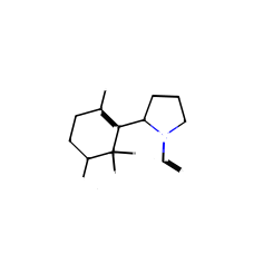 C=CN1CCCC1C1=C(C)CCC(C)C1(C)C